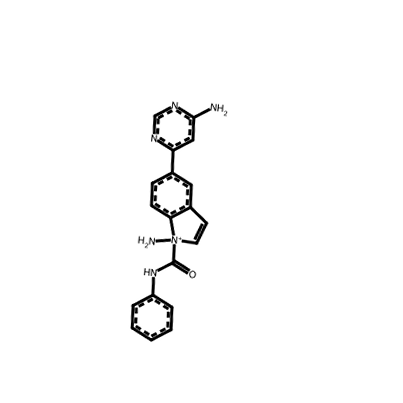 Nc1cc(-c2ccc3c(c2)C=C[N+]3(N)C(=O)Nc2ccccc2)ncn1